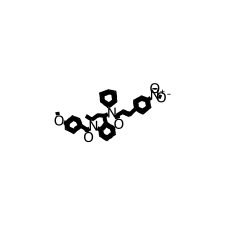 COc1ccc(C(=O)N2c3ccccc3C(N(C(=O)C=Cc3ccc([N+](=O)[O-])cc3)c3ccccc3)CC2C)cc1